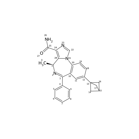 C[C@@H]1N=C(c2ccccc2)c2cc(C34CC(C3)C4)ccc2-n2cnc(C(N)=O)c21